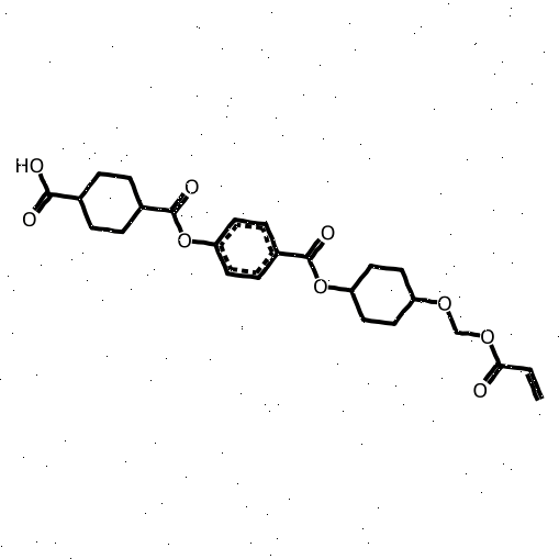 C=CC(=O)OCOC1CCC(OC(=O)c2ccc(OC(=O)C3CCC(C(=O)O)CC3)cc2)CC1